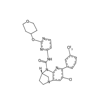 O=C(Nc1ccnc(OC2CCOCC2)n1)N1c2nc(-c3cccc(C(F)(F)F)c3)c(Cl)cc2N2CC[C@H]1C2